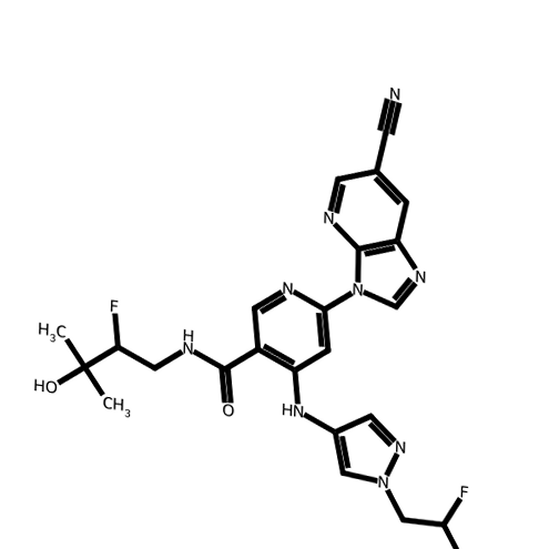 CC(F)Cn1cc(Nc2cc(-n3cnc4cc(C#N)cnc43)ncc2C(=O)NCC(F)C(C)(C)O)cn1